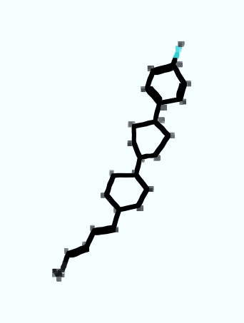 N#CC=CC=CC1CCC(C2CCC(c3ccc(F)cc3)CC2)CC1